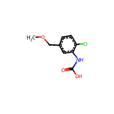 COCc1ccc(Cl)c(NC(=O)O)c1